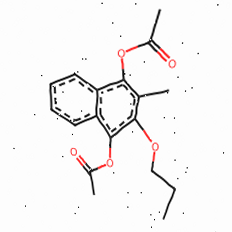 CCCOc1c(C)c(OC(C)=O)c2ccccc2c1OC(C)=O